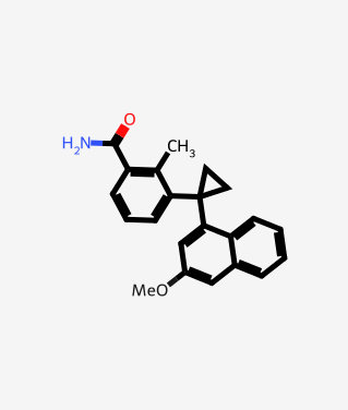 COc1cc(C2(c3cccc(C(N)=O)c3C)CC2)c2ccccc2c1